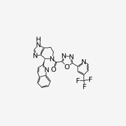 O=C(c1nnc(-c2cc(C(F)(F)F)ccn2)o1)N1CCc2[nH]cnc2[C@@H]1c1ccc2ccccc2n1